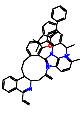 C=CC1=NC2CC(=C)[n+]3c(n4c5c3ccc(C)[n+]5C(C)c3cc(-c5ccccc5)cc(C(C)C)c3-4)-c3c(ccc4c3oc3ccccc34)CCC2c2ccccc21